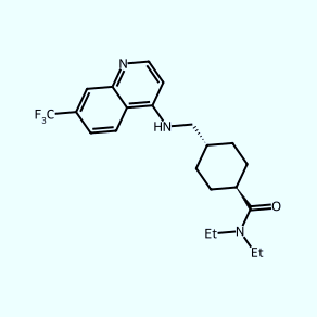 CCN(CC)C(=O)[C@H]1CC[C@H](CNc2ccnc3cc(C(F)(F)F)ccc23)CC1